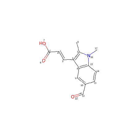 Cc1c(/C=C/C(=O)O)c2cc(C=O)ccc2n1C